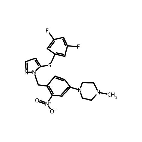 CN1CCN(c2ccc(Cn3nccc3Sc3cc(F)cc(F)c3)c([N+](=O)[O-])c2)CC1